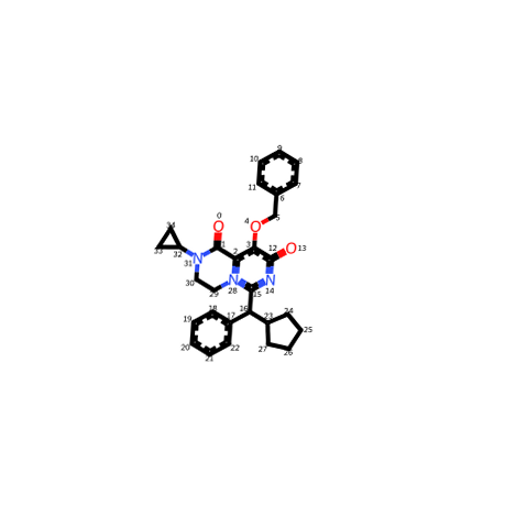 O=C1c2c(OCc3ccccc3)c(=O)nc(C(c3ccccc3)C3CCCC3)n2CCN1C1CC1